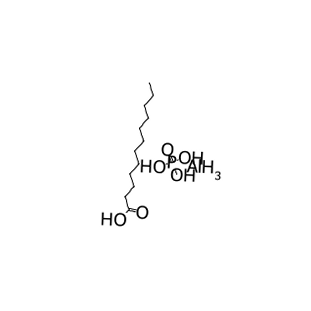 CCCCCCCCCCCC(=O)O.O=P(O)(O)O.[AlH3]